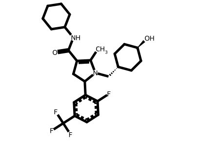 CC1=C(C(=O)NC2CCCCC2)CC(c2cc(C(F)(F)F)ccc2F)N1C[C@H]1CC[C@H](O)CC1